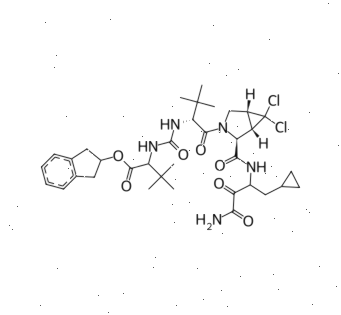 CC(C)(C)C(NC(=O)N[C@@H](C(=O)N1C[C@H]2[C@@H]([C@H]1C(=O)NC(CC1CC1)C(=O)C(N)=O)C2(Cl)Cl)C(C)(C)C)C(=O)OC1Cc2ccccc2C1